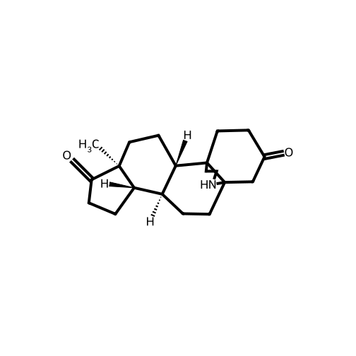 C[C@]12CC[C@H]3[C@@H](CCC45CC(=O)CCC34CCN5)[C@@H]1CCC2=O